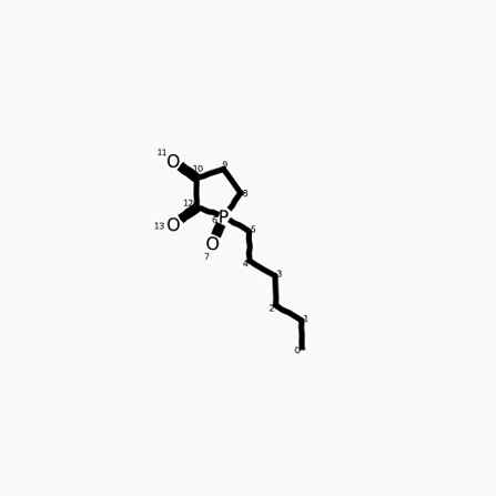 CCCCCCP1(=O)CCC(=O)C1=O